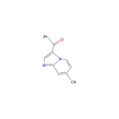 CC(C)C(=O)c1cnc2cc(C#N)ccn12